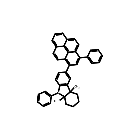 CC12CCCCC1(C)N(c1ccccc1)c1ccc(-c3cc(-c4ccccc4)c4ccc5cccc6ccc3c4c56)cc12